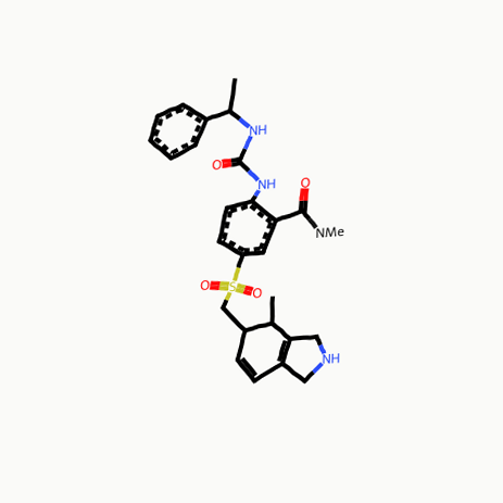 CNC(=O)c1cc(S(=O)(=O)CC2C=CC3=C(CNC3)C2C)ccc1NC(=O)NC(C)c1ccccc1